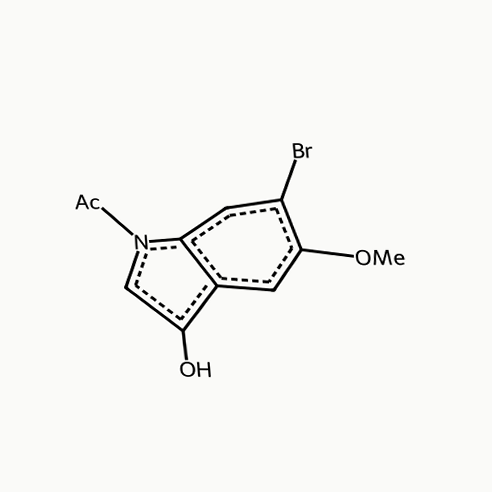 COc1cc2c(O)cn(C(C)=O)c2cc1Br